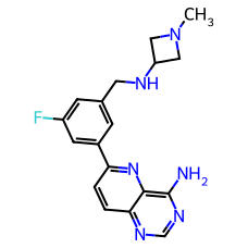 CN1CC(NCc2cc(F)cc(-c3ccc4ncnc(N)c4n3)c2)C1